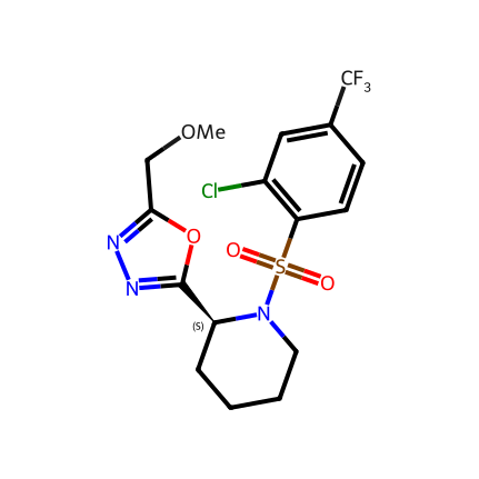 COCc1nnc([C@@H]2CCCCN2S(=O)(=O)c2ccc(C(F)(F)F)cc2Cl)o1